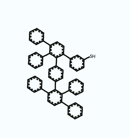 Sc1cccc(-c2ccc(-c3ccccc3)c(-c3ccccc3)c2-c2ccc(-c3c(-c4ccccc4)ccc(-c4ccccc4)c3-c3ccccc3)cc2)c1